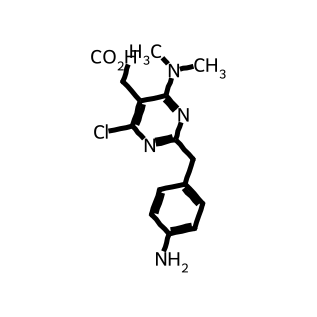 CN(C)c1nc(Cc2ccc(N)cc2)nc(Cl)c1CC(=O)O